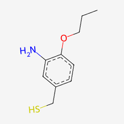 CCCOc1ccc(CS)cc1N